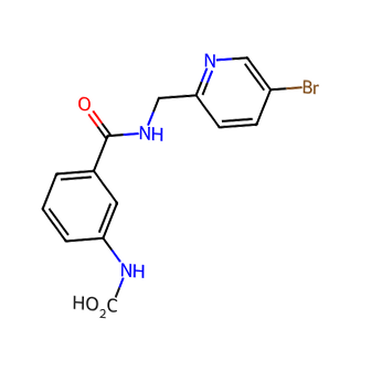 O=C(O)Nc1cccc(C(=O)NCc2ccc(Br)cn2)c1